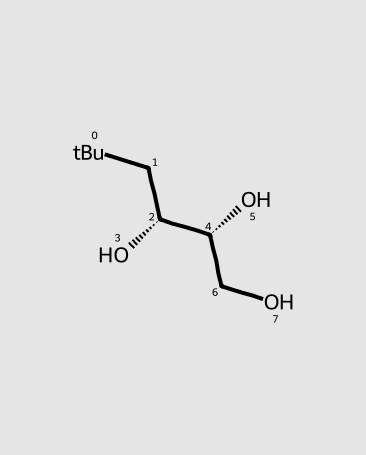 CC(C)(C)C[C@@H](O)[C@H](O)CO